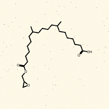 CC(CCCCCCC(=O)O)CCCCC(C)CCCCCCC(=O)OCC1CO1